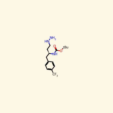 CC(C)(C)OC(=O)N[C@H](CCNN)Cc1ccc(C(F)(F)F)cc1